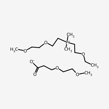 CCOCC[P+](C)(C)CCOCCOC.COCCOCCC(=O)[O-]